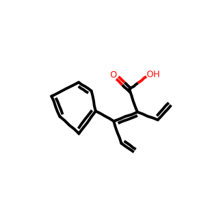 C=CC(C(=O)O)=C(C=C)c1ccccc1